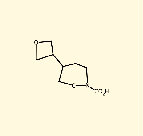 O=C(O)N1CCC(C2COC2)CC1